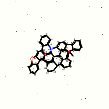 CC1(C)c2ccccc2-c2ccc(N(c3ccccc3-c3ccc4c(c3)oc3ccccc34)c3ccccc3-c3cccc4cccc(C5CCCCC5)c34)cc21